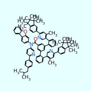 Cc1cc(-c2ccc3c(c2)C(C)(C)C(C)(C)C3(C)C)ncc1-c1ccccc1-c1cc(C(=O)N(c2ccc(-c3ccc(CC(C)C)cc3)nc2)c2ccc3c(c2)oc2ccccc23)cc(-c2ccccc2-c2cnc(-c3ccc4c(c3)C(C)(C)C(C)(C)C4(C)C)cc2C)c1